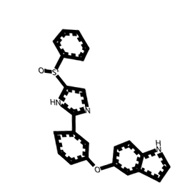 [O-][S+](c1ccccc1)c1cnc(-c2cccc(Oc3ccc4[nH]ccc4c3)c2)[nH]1